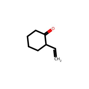 C=CC1CCCCC1=O